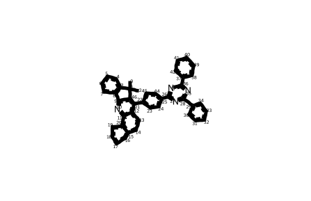 CC1(C)c2ccccc2-c2nc3c(ccc4ccccc43)c(-c3ccc(-c4nc(-c5ccccc5)nc(-c5ccccc5)n4)cc3)c21